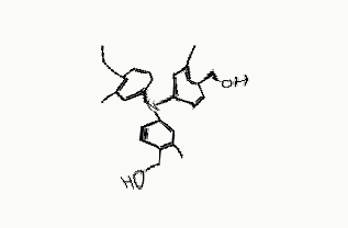 CCc1ccc(N(c2ccc(CO)c(C)c2)c2ccc(CO)c(C)c2)cc1C